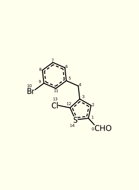 O=Cc1cc(Cc2cccc(Br)c2)c(Cl)s1